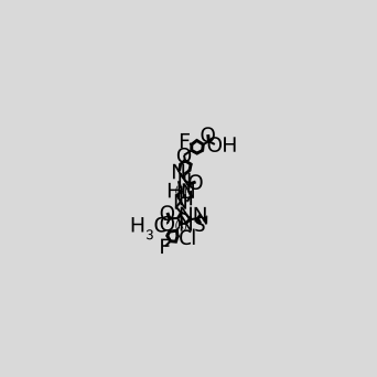 COC(=O)C1=C(CN2CCN3C(=O)N(c4ccc(Oc5ccc(C(=O)O)cc5F)cn4)C[C@@H]3C2)NC(c2nccs2)=N[C@H]1c1ccc(F)cc1Cl